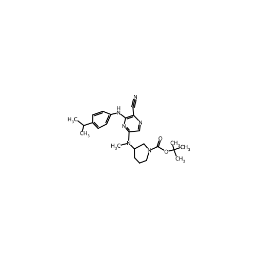 CC(C)c1ccc(Nc2nc(N(C)C3CCCN(C(=O)OC(C)(C)C)C3)cnc2C#N)cc1